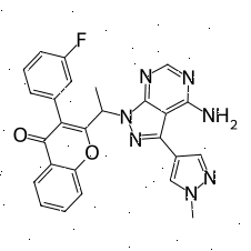 CC(c1oc2ccccc2c(=O)c1-c1cccc(F)c1)n1nc(-c2cnn(C)c2)c2c(N)ncnc21